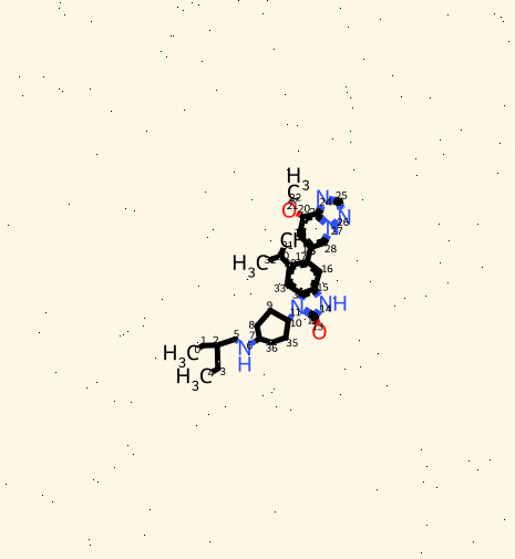 CCC(CC)CNC1CCC(n2c(=O)[nH]c3cc(-c4cc(OC)c5ncnn5c4)c(C(C)C)cc32)CC1